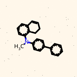 CN(c1ccc(-c2ccccc2)cc1)c1cccc2c1CCC=C2